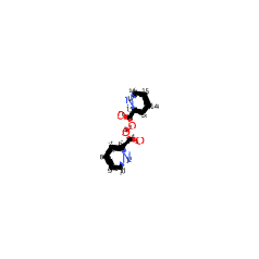 O=C(OOC(=O)c1ccccn1)c1ccccn1